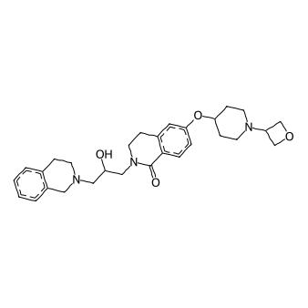 O=C1c2ccc(OC3CCN(C4COC4)CC3)cc2CCN1CC(O)CN1CCc2ccccc2C1